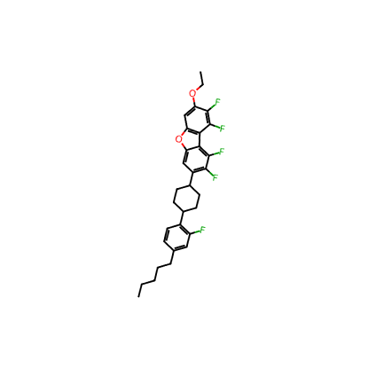 CCCCCc1ccc(C2CCC(c3cc4oc5cc(OCC)c(F)c(F)c5c4c(F)c3F)CC2)c(F)c1